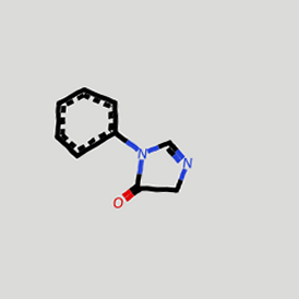 O=C1CN=CN1c1ccccc1